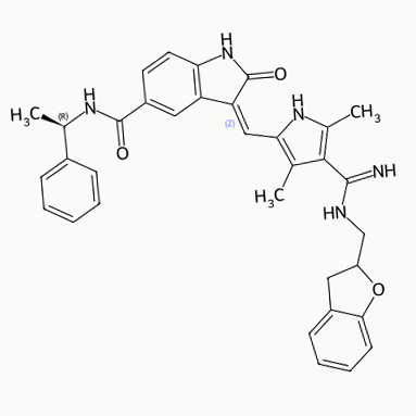 Cc1[nH]c(/C=C2\C(=O)Nc3ccc(C(=O)N[C@H](C)c4ccccc4)cc32)c(C)c1C(=N)NCC1Cc2ccccc2O1